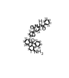 Nc1cccc(C(OC[C@@H]2CC[C@H](n3ccc(NC(=O)c4ccccc4)nc3=O)O2)(c2ccccc2)c2ccccc2)c1